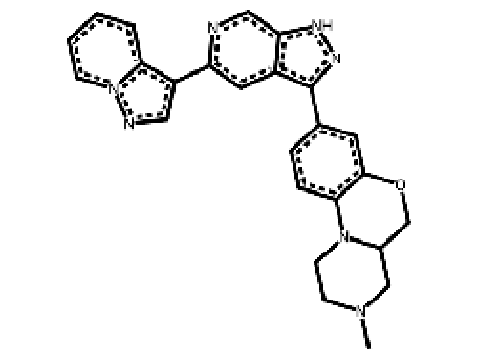 CN1CCN2c3ccc(-c4n[nH]c5cnc(-c6cnn7ccccc67)cc45)cc3OCC2C1